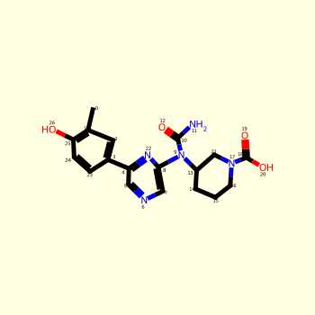 Cc1cc(-c2cncc(N(C(N)=O)C3CCCN(C(=O)O)C3)n2)ccc1O